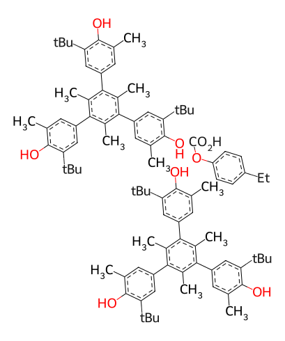 CCc1ccc(OC(=O)O)cc1.Cc1cc(-c2c(C)c(-c3cc(C)c(O)c(C(C)(C)C)c3)c(C)c(-c3cc(C)c(O)c(C(C)(C)C)c3)c2C)cc(C(C)(C)C)c1O.Cc1cc(-c2c(C)c(-c3cc(C)c(O)c(C(C)(C)C)c3)c(C)c(-c3cc(C)c(O)c(C(C)(C)C)c3)c2C)cc(C(C)(C)C)c1O